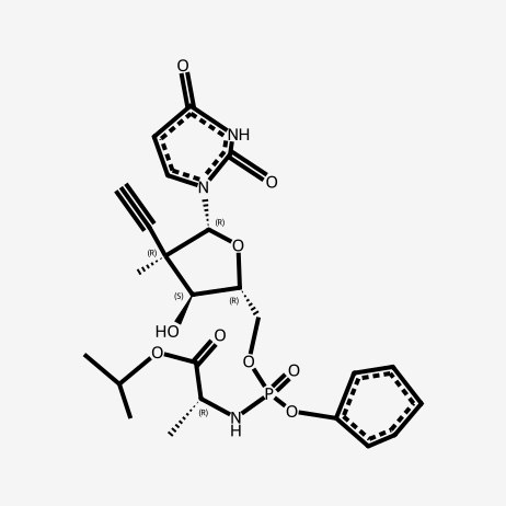 C#C[C@]1(C)[C@H](O)[C@@H](COP(=O)(N[C@H](C)C(=O)OC(C)C)Oc2ccccc2)O[C@H]1n1ccc(=O)[nH]c1=O